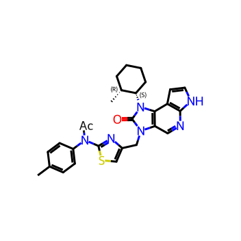 CC(=O)N(c1ccc(C)cc1)c1nc(Cn2c(=O)n([C@H]3CCCC[C@H]3C)c3c4cc[nH]c4ncc32)cs1